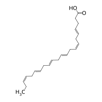 CC/C=C\C/C=C/C/C=C/C/C=C/C/C=C\C/C=C/CCC(=O)O